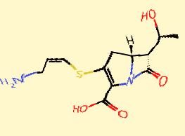 C[C@H](O)[C@@H]1C(=O)N2C(C(=O)O)=C(S/C=C\CN)C[C@H]12